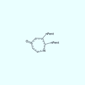 CCCCCc1cc(=O)ccnc1CCCCC